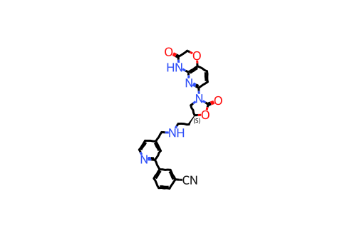 N#Cc1cccc(-c2cc(CNCC[C@H]3CN(c4ccc5c(n4)NC(=O)CO5)C(=O)O3)ccn2)c1